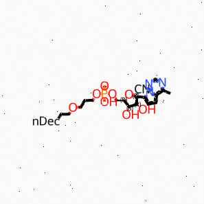 CCCCCCCCCCCCOCCCOP(=O)(O)OC[C@H]1O[C@@](C#N)(c2ccc3c(C)ncnn23)[C@H](O)[C@@H]1O